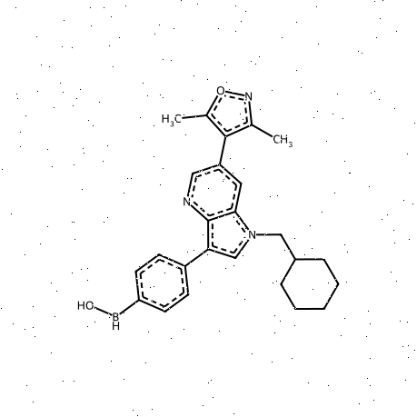 Cc1noc(C)c1-c1cnc2c(-c3ccc(BO)cc3)cn(CC3CCCCC3)c2c1